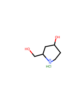 Cl.OCC1CC(O)CCN1